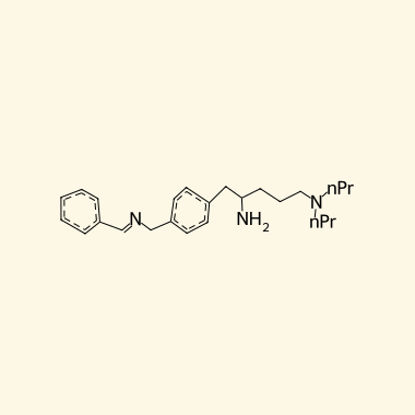 CCCN(CCC)CCCC(N)Cc1ccc(CN=Cc2ccccc2)cc1